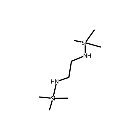 C[Si](C)(C)NCCN[Si](C)(C)C